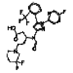 O=CN(c1cc(-c2ccccc2C(F)(F)F)n(-c2ccc(F)cn2)n1)[C@@H](CCN1CCCC(F)(F)C1)CC(=O)O